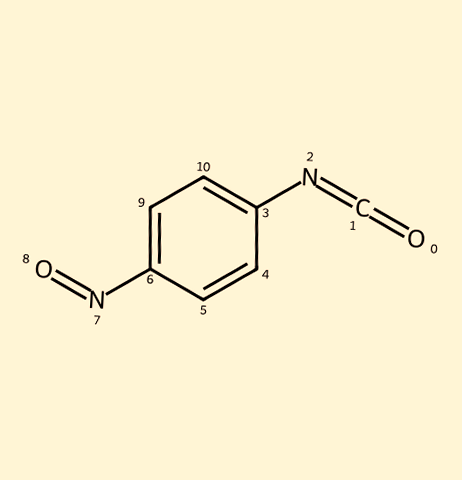 O=C=Nc1ccc(N=O)cc1